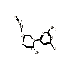 C[C@@H]1CO[C@H](CN=[N+]=[N-])CN1c1cc(Cl)nc(N)n1